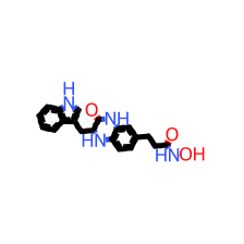 O=C(CCc1ccc2c(c1)NC(=O)C(Cc1c[nH]c3ccccc13)N2)NO